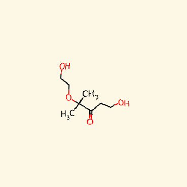 CC(C)(OCCO)C(=O)CCO